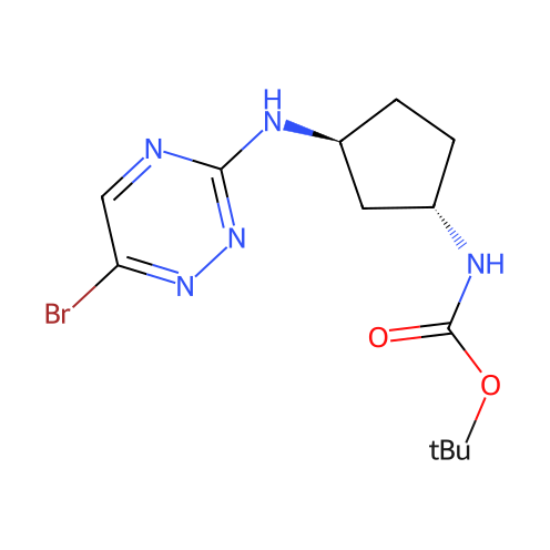 CC(C)(C)OC(=O)N[C@H]1CC[C@H](Nc2ncc(Br)nn2)C1